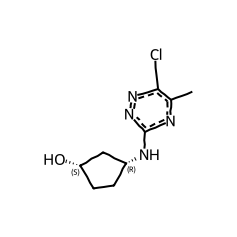 Cc1nc(N[C@@H]2CC[C@H](O)C2)nnc1Cl